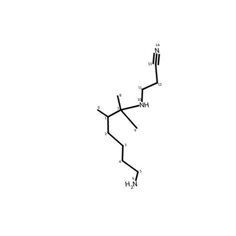 CC(CCCCN)C(C)(C)NCCC#N